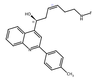 Cc1ccc(-c2cc([C@@H](O)C/C=C\CCNF)c3ccccc3n2)cc1